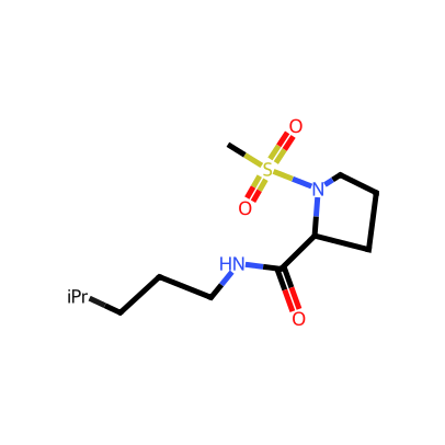 CC(C)CCCNC(=O)C1CCCN1S(C)(=O)=O